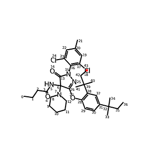 CCCC(=O)NC1(N2CCCCC2)C(=O)N(c2c(Cl)cc(C)cc2Cl)N=C1Oc1ccc(C(C)(C)CC)cc1C(C)(C)CC